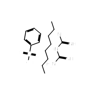 CCCCCCCC.N=C(N)NC(=N)N.O=S(=O)(O)c1ccccc1